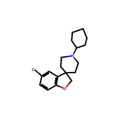 Clc1ccc2c(c1)C1(CCN(C3CCCCC3)CC1)CO2